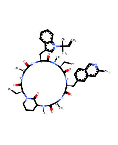 C=CC(C)(C)n1cc(C[C@@H]2NC(=O)[C@H](CCCC)NC(=O)[C@H](CC(C)C)N3CCCC(C3=O)N(C)C(=O)[C@H](C)NC(=O)[C@H](Cc3ccc4cnc(C)cc4c3)NC(=O)[C@H](CC(C)C)N(C)C2=O)c2ccccc21